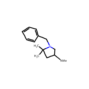 CNC1CN(Cc2ccccc2)C(C)(C)C1